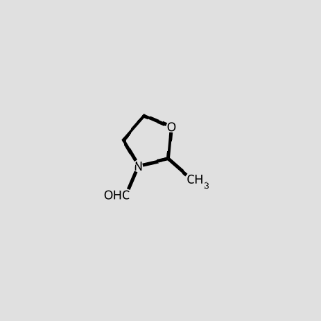 CC1OCCN1C=O